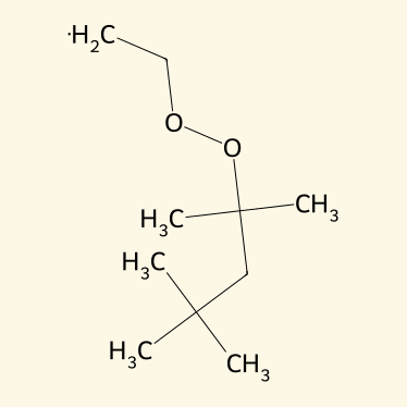 [CH2]COOC(C)(C)CC(C)(C)C